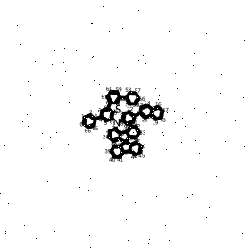 c1ccc(-c2cc(N(c3ccc(-c4ccc5ccccc5c4)cc3)c3cccc4c3-c3ccccc3C43c4ccccc4-c4ccccc43)c3sc4c(-c5ccccc5)cccc4c3c2)cc1